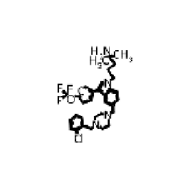 CC(C)(N)CCCn1cc(-c2ccc(OC(F)(F)F)cc2)c2cc(CN3CCN(Cc4ccccc4Cl)CC3)ccc21